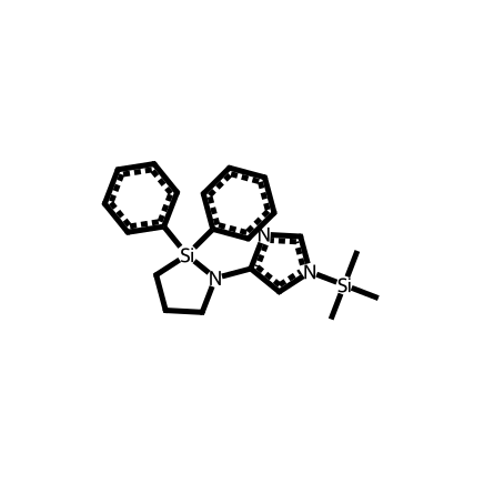 C[Si](C)(C)n1cnc(N2CCC[Si]2(c2ccccc2)c2ccccc2)c1